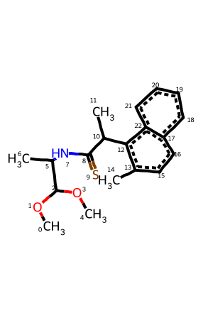 COC(OC)C(C)NC(=S)C(C)c1c(C)ccc2ccccc12